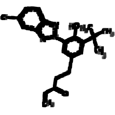 C=CC(=O)CCc1cc(-n2nc3ccc(Cl)cc3n2)c(O)c(C(C)(C)C)c1